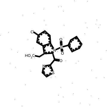 O=C(O)Cc1c(C(=O)c2nccs2)n(S(=O)(=O)c2ccccc2)c2ccc(Cl)cc12